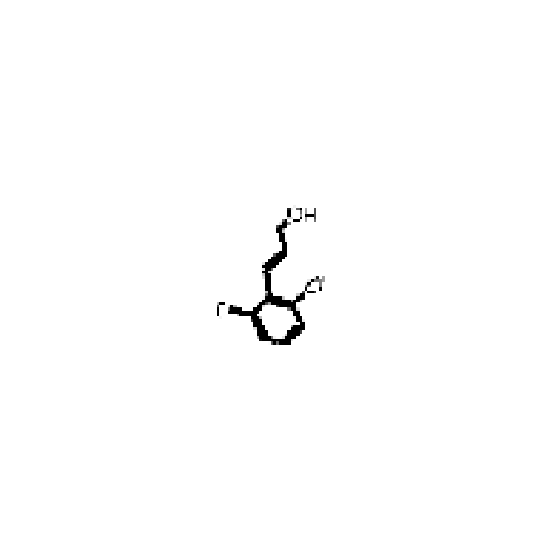 OCC=Cc1c(Cl)cccc1Cl